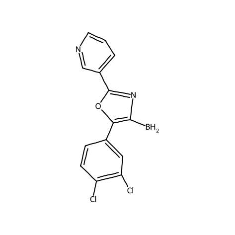 Bc1nc(-c2cccnc2)oc1-c1ccc(Cl)c(Cl)c1